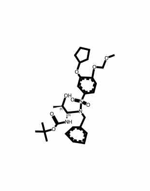 COCOc1ccc(S(=O)(=O)N(Cc2ccccc2)[C@H](NC(=O)OC(C)(C)C)[C@@H](C)O)cc1OC1CCCC1